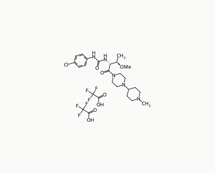 CO[C@H](C)[C@@H](NC(=O)Nc1ccc(Cl)cc1)C(=O)N1CCN(C2CCN(C)CC2)CC1.O=C(O)C(F)(F)F.O=C(O)C(F)(F)F